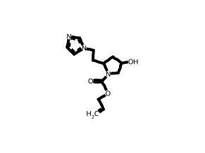 C=CCOC(=O)N1CC(O)CC1CCn1ccnc1